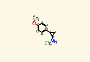 CCCOc1ccc(C2CC2NCl)cc1